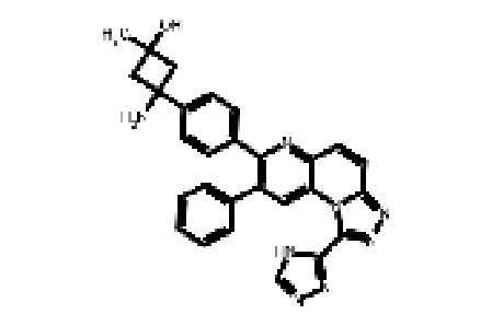 CC1(O)CC(N)(c2ccc(-c3nc4ccc5nnc(-c6nnc[nH]6)n5c4cc3-c3ccccc3)cc2)C1